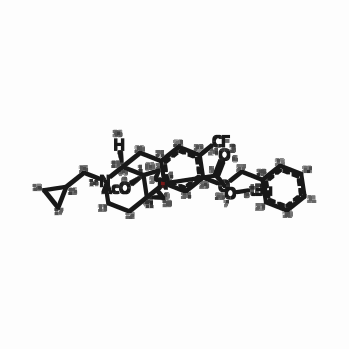 CC(=O)O[C@@]12CCN(C(=O)OC(C)(C)C)CC[C@@]13CCN(CC1CC1)[C@@H]2Cc1cc(C(F)(F)F)c(OCc2ccccc2)cc13